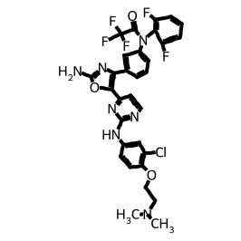 CN(C)CCOc1ccc(Nc2nccc(-c3oc(N)nc3-c3cccc(N(C(=O)C(F)(F)F)c4c(F)cccc4F)c3)n2)cc1Cl